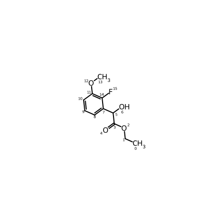 CCOC(=O)C(O)c1cccc(OC)c1F